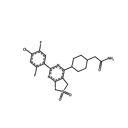 NC(=O)CC1CCN(c2nc(-c3cc(F)c(Cl)cc3F)nc3c2CS(=O)(=O)C3)CC1